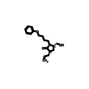 C=CC[C@@H]1C[C@@H](CO)N(CCCCOc2ccccc2)C1=O